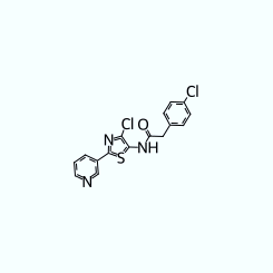 O=C(Cc1ccc(Cl)cc1)Nc1sc(-c2cccnc2)nc1Cl